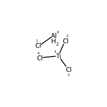 [AlH2][Cl].[Cl][Ti]([Cl])[Cl]